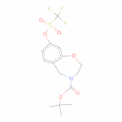 CC(C)(C)OC(=O)N1CCOc2cc(OS(=O)(=O)C(F)(F)F)ccc2C1